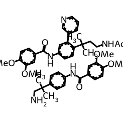 COc1ccc(C(=O)Nc2ccc(C(C)(C)CCNC(C)=O)c(-c3cccnc3)c2)cc1OC.COc1ccc(C(=O)Nc2ccc(C(C)(C)CN)cc2)cc1OC